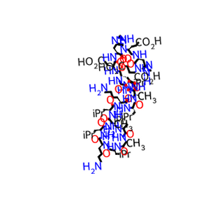 CC(C)C[C@H](NC(=O)[C@H](C)NC(=O)[C@@H](N)CC(C)C)C(=O)N[C@@H](CCCCN)C(=O)N[C@@H](CC(C)C)C(=O)N[C@@H](C)C(=O)N[C@@H](CC(C)C)C(=O)N[C@@H](CCCCN)C(=O)N[C@@H](CC(C)C)C(=O)N[C@@H](C)C(=O)N[C@@H](CC(C)C)C(=O)N[C@@H](Cc1c[nH]cn1)C(=O)N[C@@H](CCC(=O)O)C(=O)N[C@@H](Cc1c[nH]cn1)C(=O)N[C@@H](CCC(=O)O)C(=O)N[C@@H](Cc1c[nH]cn1)C(=O)N[C@@H](CCC(=O)O)C(=O)O